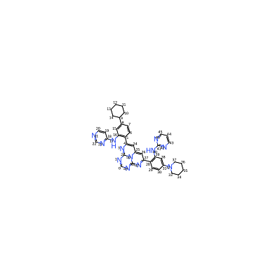 C1=NC2=NC(c3ccc(C4CCCCC4)cc3Nc3ccncn3)=CC3=CC(c4ccc(N5CCCCC5)cc4Nc4ncccn4)=NC(=N1)N32